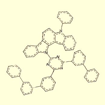 c1ccc(-c2cccc(-c3cccc(-c4nc(-c5cccc(-c6ccccc6)c5)nc(-n5c6ccccc6c6ccc7c(c8ccccc8n7-c7ccccc7)c65)n4)c3)c2)cc1